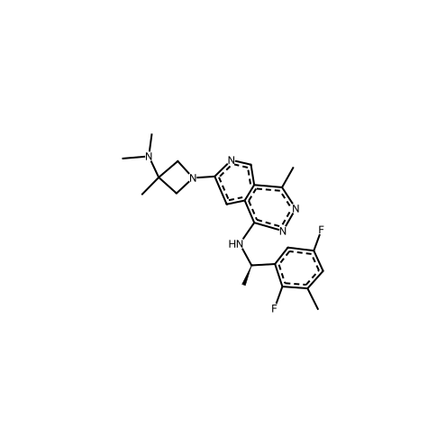 Cc1cc(F)cc([C@@H](C)Nc2nnc(C)c3cnc(N4CC(C)(N(C)C)C4)cc23)c1F